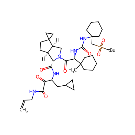 C=CCNC(=O)C(=O)C(CC1CC1)NC(=O)[C@@H]1[C@H]2CCC3(CC3)[C@H]2CN1C(=O)[C@@H](NC(=O)NC1(CS(=O)(=O)C(C)(C)C)CCCCC1)C1(C)CCCCC1